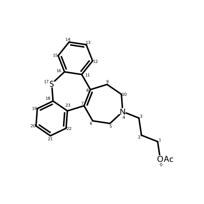 CC(=O)OCCCN1CCC2=C(CC1)c1ccccc1Sc1ccccc12